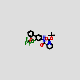 CC(C)(C)OC(=O)N1CCCC[C@@H]1C(=O)Nc1ccc(-c2ccccc2OC(F)(F)F)c(Cl)c1